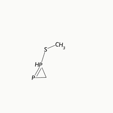 CS[PH]1=PC1